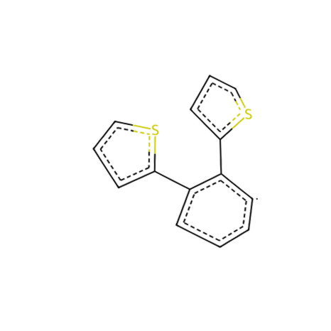 [c]1cccc(-c2cccs2)c1-c1cccs1